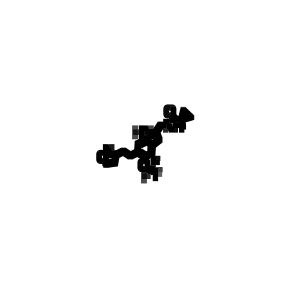 CC1(C(=O)NCc2cc3cc(OC(F)(F)F)c(CCc4ccon4)cc3[nH]2)CC1